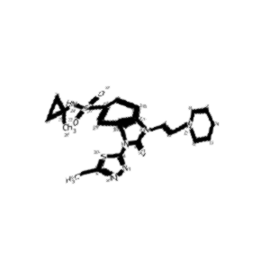 Cc1nnc(-n2c(=O)n(CCN3CCCCC3)c3ccc(S(=O)(=O)NC4(C)CC4)cc32)s1